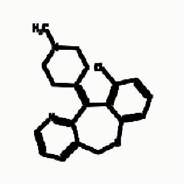 CN1CCC(=C2c3ncccc3CSc3cccc(Cl)c32)CC1